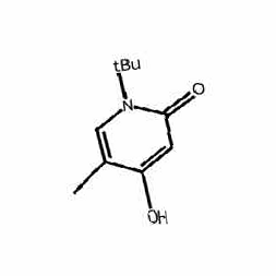 Cc1cn(C(C)(C)C)c(=O)cc1O